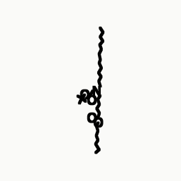 CCCCCCCCCCCCCCN(CCCCCC(=O)OCCCCCCC)CC(=O)OC(C)(C)C